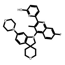 Cc1c(-c2cccc(O)n2)nc2cc(F)ccc2c1N1CC2(CCOCC2)c2ccc(N3CCOCC3)cc21